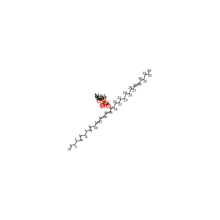 CCCCCCCCCCCCCCCCCC(O)CCCCCCCCCCCCCCCC.O=S(=O)([O-])[O-].[Na+].[Na+]